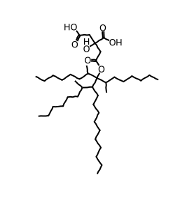 CCCCCCCCCCC(C(C)CCCCCC)C(OC(=O)CC(O)(CC(=O)O)C(=O)O)(C(C)CCCCCC)C(C)CCCCCC